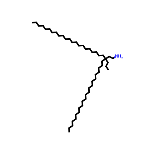 CCCCCCCCCCCCCCCCCCCCCCC(CCC)(CCN)CCCCCCCCCCCCCCCCCCCCCC